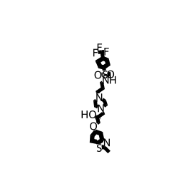 Cc1nc2cc(OC[C@H](O)CN3CCN(CCCNS(=O)(=O)c4ccc(C(F)(F)F)cc4)CC3)ccc2s1